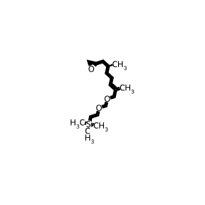 C/C(=C\CC[C@H](C)CC1CO1)COCOCC[Si](C)(C)C